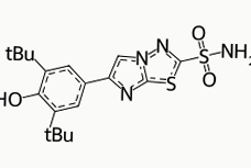 CC(C)(C)c1cc(-c2cn3nc(S(N)(=O)=O)sc3n2)cc(C(C)(C)C)c1O